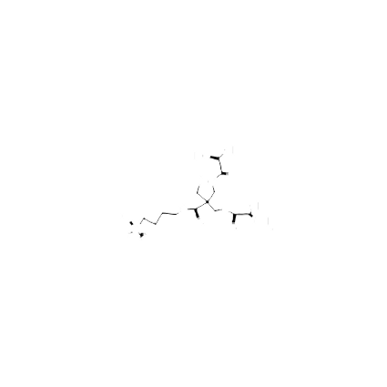 C=C(C)C(=O)OCC(CC)(COC(=O)C(=C)C)C(=O)OCCCCS(=O)(=O)O